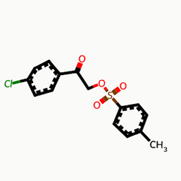 Cc1ccc(S(=O)(=O)OCC(=O)c2ccc(Cl)cc2)cc1